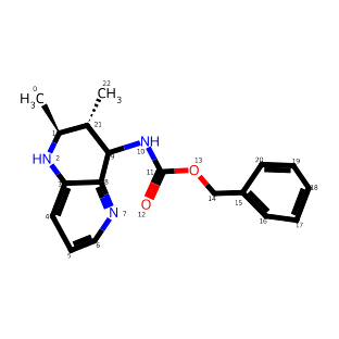 C[C@@H]1Nc2cccnc2C(NC(=O)OCc2ccccc2)[C@H]1C